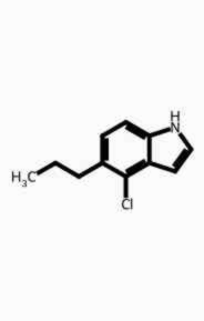 CCCc1ccc2[nH]ccc2c1Cl